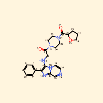 O=C(CNc1c(-c2ccccc2)nc2cnccn12)N1CCN(C(=O)C2CCCO2)CC1